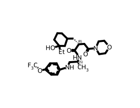 CCC1(O)CCCC(C[C@H](CC(=O)N2CCOCC2)C(=O)N[C@@H](C)CNc2ccc(OC(F)(F)F)cc2)C1